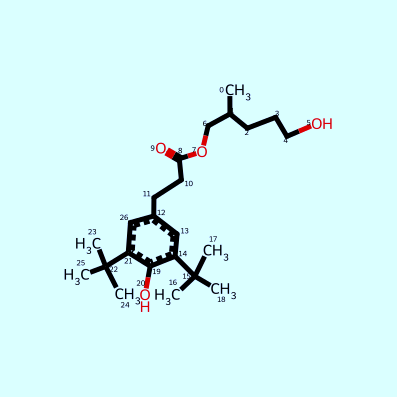 CC(CCCO)COC(=O)CCc1cc(C(C)(C)C)c(O)c(C(C)(C)C)c1